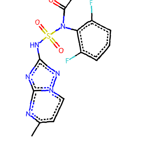 CC(=O)N(c1c(F)cccc1F)S(=O)(=O)Nc1nc2nc(C)ccn2n1